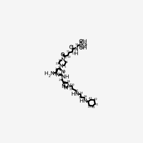 Nc1cc(N2CCN(C(=O)CCCC(=O)NCP(=O)(O)O)CC2)nc(NCc2cn(CCCNCCCNC3CCCCC3)nn2)n1